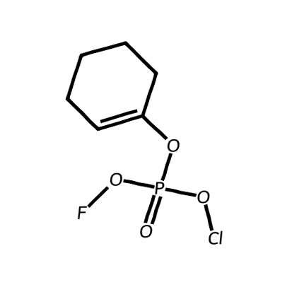 O=P(OF)(OCl)OC1=CCCCC1